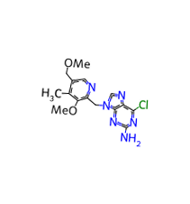 COCc1cnc(Cn2cnc3c(Cl)nc(N)nc32)c(OC)c1C